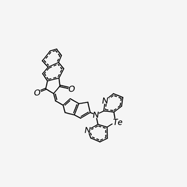 O=C1C(=CC2=CC3=C(C=C(N4c5ncccc5[Te]c5cccnc54)C3)C2)C(=O)c2cc3ccccc3cc21